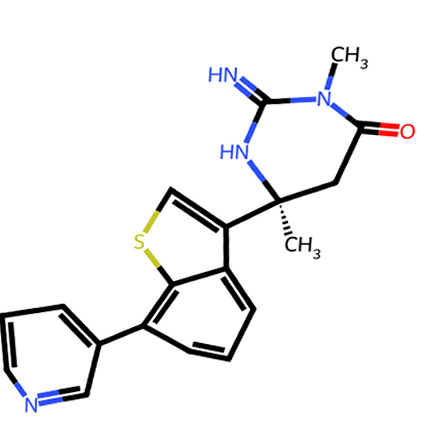 CN1C(=N)N[C@](C)(c2csc3c(-c4cccnc4)cccc23)CC1=O